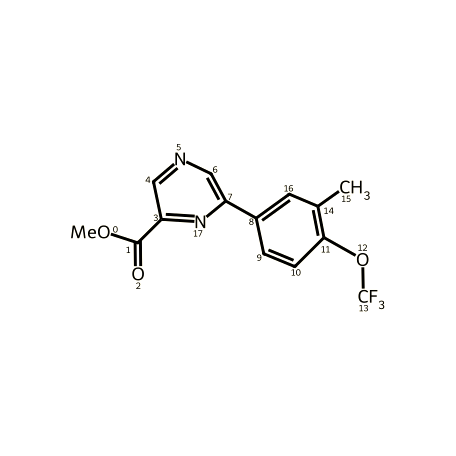 COC(=O)c1cncc(-c2ccc(OC(F)(F)F)c(C)c2)n1